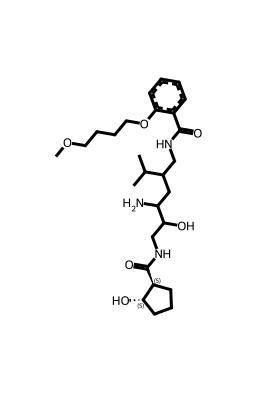 COCCCCOc1ccccc1C(=O)NCC(CC(N)C(O)CNC(=O)[C@H]1CCC[C@@H]1O)C(C)C